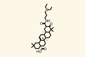 CCN(CC)CCCNC(=O)C1C[C@@]2(C)C(CC[C@]3(C)C2CC=C2C4CC(C)(C)CC[C@]4(C(=O)O)CC[C@]23C)C(C)(C)C1=O